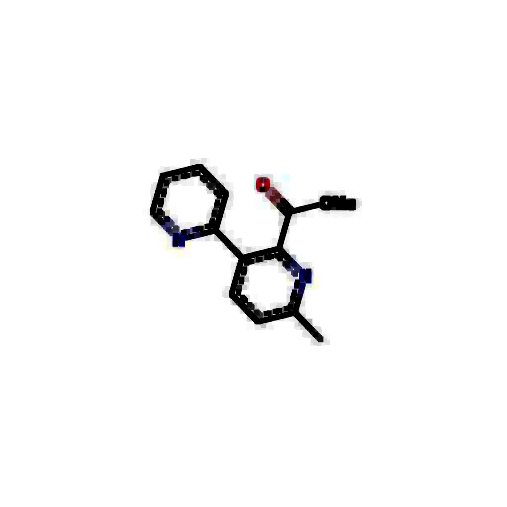 COC(=O)c1nc(C)ccc1-c1ccccn1